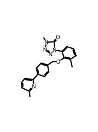 Cc1cccc(-c2ccc(COc3c(C)cccc3-n3nnn(C)c3=O)cc2)n1